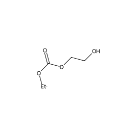 C[CH]OC(=O)OCCO